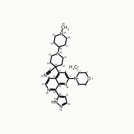 C[C@@H]1COCCN1c1cc(C2(C#N)CCN(C3CCN(C)CC3)CC2)c2ccnc(-c3ccn[nH]3)c2n1